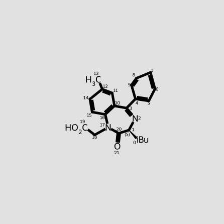 CCC(C)[C@@H]1N=C(c2ccccc2)c2cc(C)ccc2N(CC(=O)O)C1=O